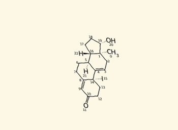 C[C@]12CC=C3[C@@H](CCC4=CC(=O)CC[C@@]43I)[C@@H]1CC[C@@H]2O